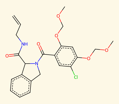 C=CCNC(=O)C1c2ccccc2CN1C(=O)c1cc(Cl)c(OCOC)cc1OCOC